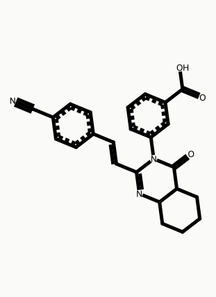 N#Cc1ccc(/C=C/C2=NC3CCCCC3C(=O)N2c2cccc(C(=O)O)c2)cc1